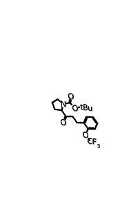 CC(C)(C)OC(=O)N1CCCC1C(=O)CCc1ccccc1OC(F)(F)F